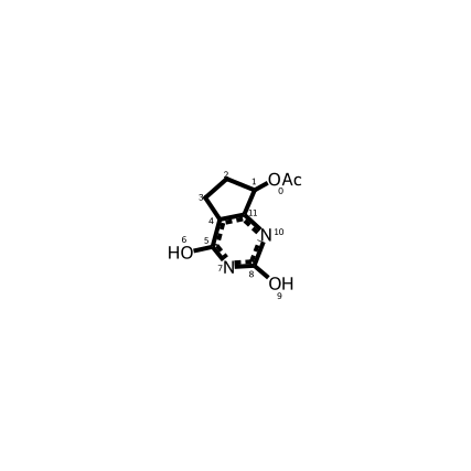 CC(=O)OC1CCc2c(O)nc(O)nc21